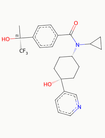 C[C@](O)(c1ccc(C(=O)N(C2CC2)[C@H]2CC[C@](O)(c3cccnc3)CC2)cc1)C(F)(F)F